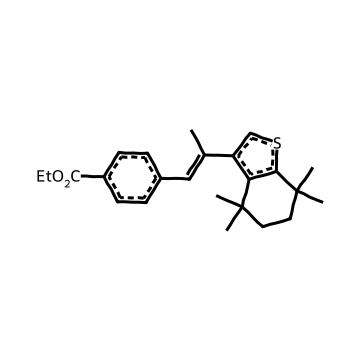 CCOC(=O)c1ccc(C=C(C)c2csc3c2C(C)(C)CCC3(C)C)cc1